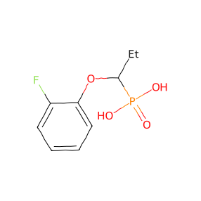 CCC(Oc1ccccc1F)P(=O)(O)O